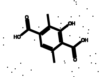 Cc1cc(C(=O)O)c(C)c(O)c1C(=O)O